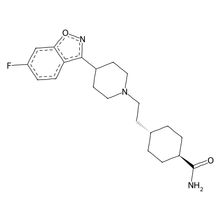 NC(=O)[C@H]1CC[C@H](CCN2CCC(c3noc4cc(F)ccc34)CC2)CC1